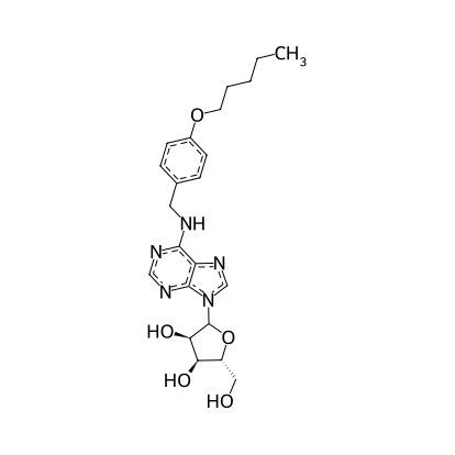 CCCCCOc1ccc(CNc2ncnc3c2ncn3C2O[C@H](CO)[C@@H](O)[C@H]2O)cc1